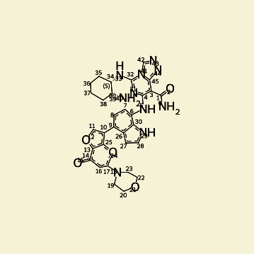 NC(=O)c1c(Nc2ccc(-c3coc4c(=O)cc(N5CCOCC5)oc34)c3cc[nH]c23)nc(N[C@H]2CCCC[C@H]2N)n2cnnc12